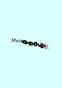 CCOc1ccc(CCC2CCC(c3ccc(-c4ccc(OC)cc4)c(F)c3F)CC2)c(F)c1